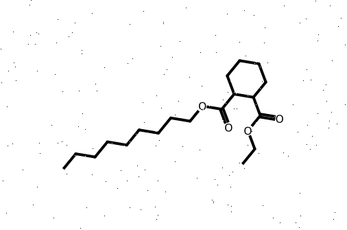 CCCCCCCCCOC(=O)C1CCCCC1C(=O)OCC